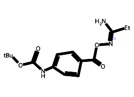 CC/C(N)=N/OC(=O)c1ccc(NC(=O)OC(C)(C)C)cc1